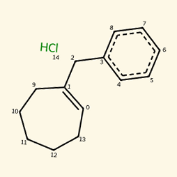 C1=C(Cc2ccccc2)CCCCC1.Cl